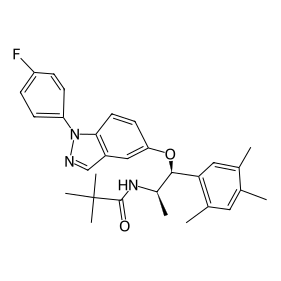 Cc1cc(C)c([C@H](Oc2ccc3c(cnn3-c3ccc(F)cc3)c2)[C@@H](C)NC(=O)C(C)(C)C)cc1C